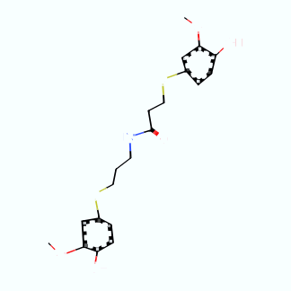 COc1cc(SCCCNC(=O)CCSc2ccc(O)c(OC)c2)ccc1O